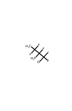 CC(F)(F)C(F)(P)C(F)(Cl)I